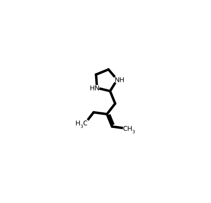 C/C=C(/CC)CC1NCCN1